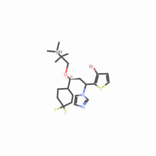 C[SiH](C)C(C)(C)CO[C@@H](CC(c1sccc1Br)n1ccnc1)C1CCC(F)(F)CC1